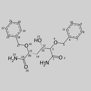 NC(=O)C(OCc1ccccc1)[C@@H](O)C[C@@H](OCc1ccccc1)C(N)=O